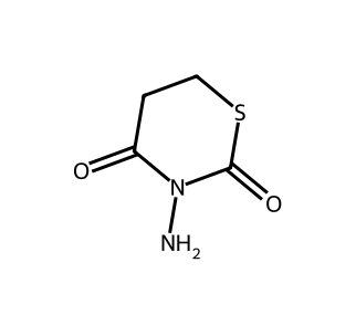 NN1C(=O)CCSC1=O